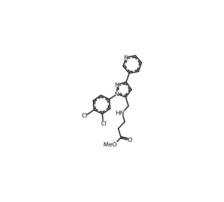 COC(=O)CCNCc1cc(-c2cccnc2)nn1-c1ccc(Cl)c(Cl)c1